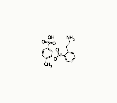 Cc1ccc(S(=O)(=O)O)cc1.NCCc1ccccc1[N+](=O)[O-]